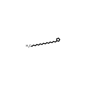 CCCCCCCCCCCCCCCC[C]1CCCC1